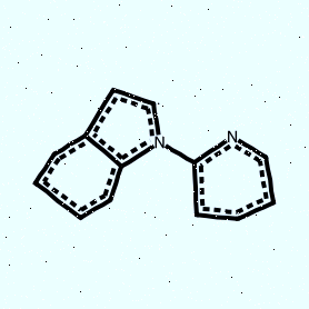 [c]1cc2ccccc2n1-c1ccccn1